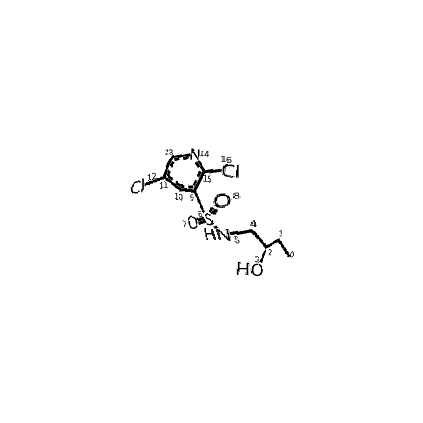 CC[C@@H](O)CNS(=O)(=O)c1cc(Cl)cnc1Cl